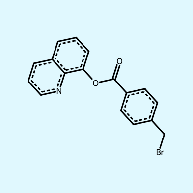 O=C(Oc1cccc2cccnc12)c1ccc(CBr)cc1